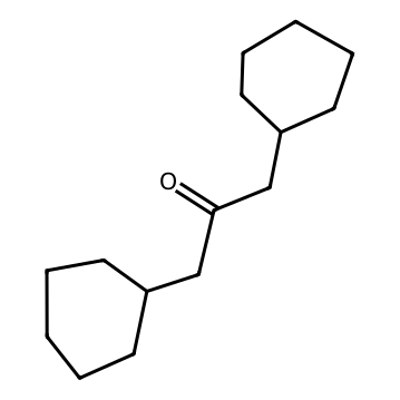 O=C(CC1CCCCC1)CC1CCCCC1